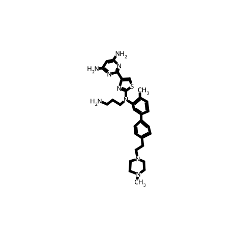 Cc1ccc(-c2ccc(CCN3CCN(C)CC3)cc2)cc1N(CCCN)c1nc(-c2nc(N)cc(N)n2)cs1